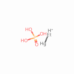 C[CH2][Hg].O=P(O)(O)O.[H+]